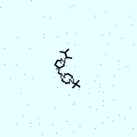 CC(C)C(C)N1CC[C@H](CN2CCN(C(C)(C)C)CC2)C1